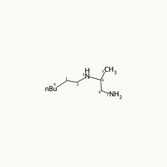 CCCCCCNC(C)CN